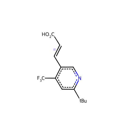 CC(C)(C)c1cc(C(F)(F)F)c(/C=C/C(=O)O)cn1